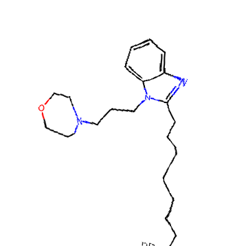 CCCCCCCCCCCCCCCCCc1nc2ccccc2n1CCCN1CCOCC1